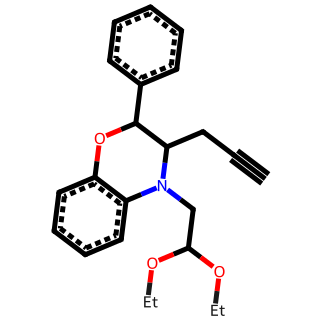 C#CCC1C(c2ccccc2)Oc2ccccc2N1CC(OCC)OCC